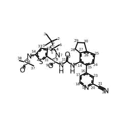 CC(C)(C)[Si](C)(C)N=S(=O)(NC(=O)Nc1c(-c2ccnc(C#N)c2)ccc2c1CCC2)c1ccc(N=S(C)(C)=O)s1